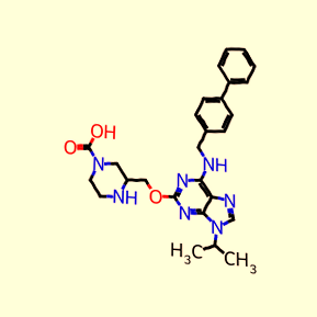 CC(C)n1cnc2c(NCc3ccc(-c4ccccc4)cc3)nc(OCC3CN(C(=O)O)CCN3)nc21